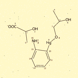 CC(O)C(=O)[O-].CC(O)C[O][Hg][c]1ccccc1[NH3+]